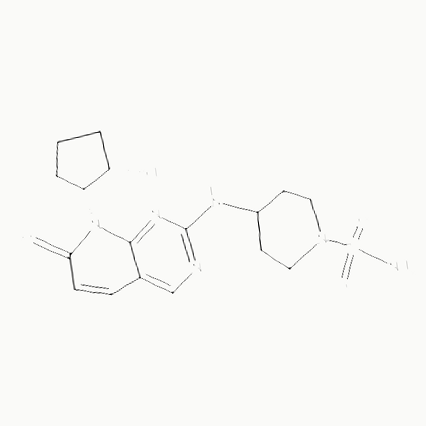 C[C@H]1CCC[C@H]1n1c(=O)ccc2cnc(NC3CCN(S(N)(=O)=O)CC3)nc21